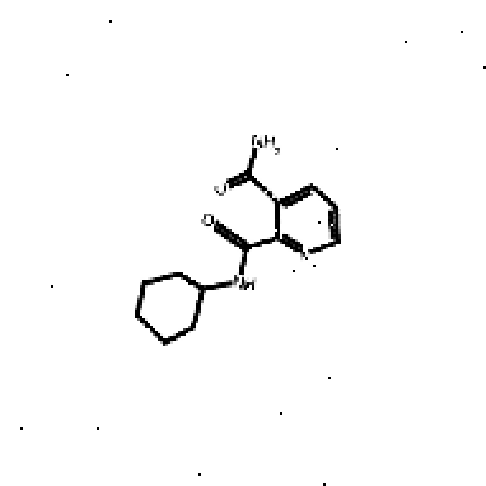 NC(=O)c1cccnc1C(=O)NC1CCCCC1